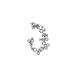 Cc1nn(C(=O)OC(C)(C)C)cc1-c1ccc(-c2cnc(C(=O)Nc3ccc(C(=O)N4CCN(C(=O)C5CCN(CC6CN(C(=O)OC(C)(C)C)C6)CC5)CC4)c(Cl)c3)n2C)c(F)c1F